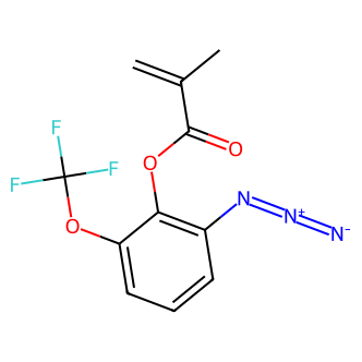 C=C(C)C(=O)Oc1c(N=[N+]=[N-])cccc1OC(F)(F)F